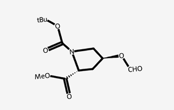 COC(=O)[C@H]1C[C@H](OC=O)CN1C(=O)OC(C)(C)C